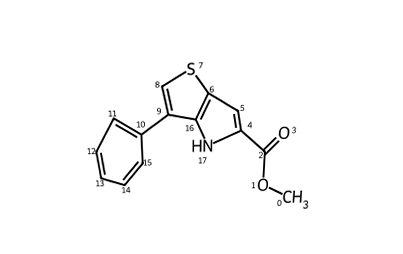 COC(=O)c1cc2scc(-c3ccccc3)c2[nH]1